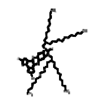 CCCCCCCCCCCCC(CCCCCCCCCC)Cn1c(=O)n(CC(CCCCCCCCCC)CCCCCCCCCCCC)c2cc3nc4c5cc(Br)sc5c5sc(Br)cc5c4nc3cc21